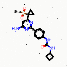 CC(C)(C)S(=O)(=O)C1(c2cc(N)nc(-c3ccc(NC(=O)NC4CCC4)cc3)n2)CC1